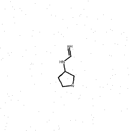 N=CNC1CC[N]C1